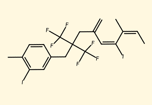 C=C(/C=C(I)\C(C)=C/C)CC(Cc1ccc(C)c(I)c1)(C(F)(F)F)C(F)(F)F